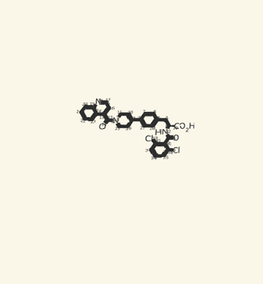 O=C(N[C@@H](Cc1ccc(C2=CCN(C(=O)c3ccnc4ccccc34)CC2)cc1)C(=O)O)c1c(Cl)cccc1Cl